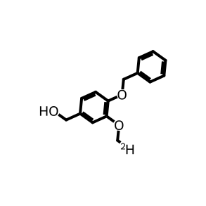 [2H]COc1cc(CO)ccc1OCc1ccccc1